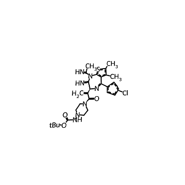 C=C(C(=O)N1CCN(NC(=O)OC(C)(C)C)CC1)[C@@H]1N=C(c2ccc(Cl)cc2)c2c(sc(C)c2C)N(C(C)=N)C1=N